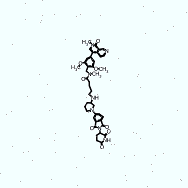 COc1cc(-c2cn(C)c(=O)c3cnccc23)cc(OC)c1CN(C)C(=O)CCCCNC1CCCN(c2ccc3c(c2)C(=O)N(C2CCC(=O)NC2=O)C3=O)C1